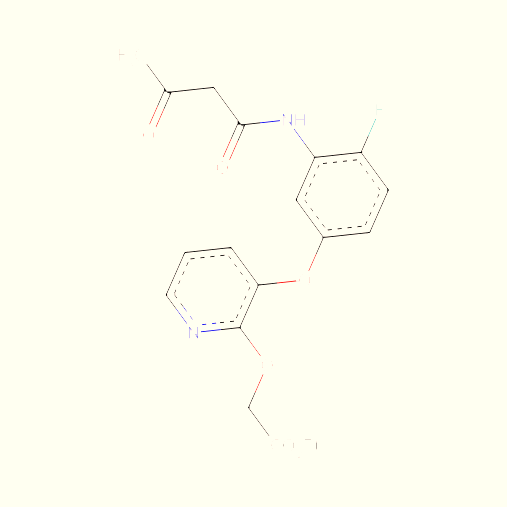 CCOC(=O)COc1ncccc1Oc1ccc(F)c(NC(=O)CC(=O)C(F)(F)F)c1